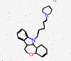 C1=CC2OCCC3c4ccccc4N(CCCCCN4CCCCC4)C3C2CC1